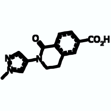 Cn1cc(N2CCc3cc(C(=O)O)ccc3C2=O)cn1